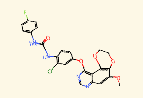 COc1cc2ncnc(Oc3ccc(NC(=O)Nc4ccc(F)cc4)c(Cl)c3)c2c2c1OCCO2